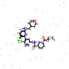 COC(=O)N1CCC[C@H](C(=O)Nc2cc(-c3nc(NCC4CCOCC4)ccc3Cl)c(Cl)cn2)C1